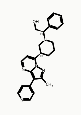 Cc1nn2c([C@@H]3CCCN([C@@H](CO)c4ccccc4)C3)ccnc2c1-c1ccncc1